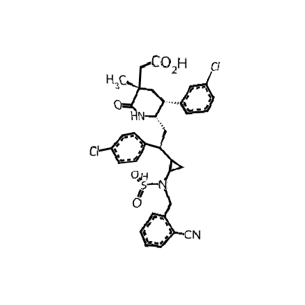 C[C@@]1(CC(=O)O)C[C@H](c2cccc(Cl)c2)[C@H](C[C@H](c2ccc(Cl)cc2)C2CC2N(Cc2ccccc2C#N)[SH](=O)=O)NC1=O